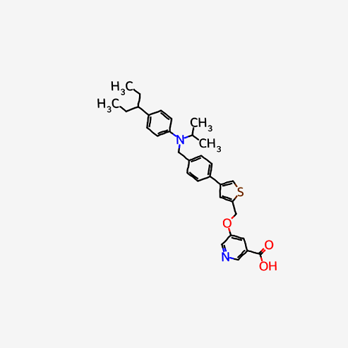 CCC(CC)c1ccc(N(Cc2ccc(-c3csc(COc4cncc(C(=O)O)c4)c3)cc2)C(C)C)cc1